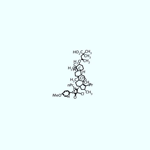 C=C(CC(C)(C)C(=O)O)O[C@H]1CCC2(C)[C@H]3CC[C@]4(C)C5=C(C(C)C)[C@@H](C)C[C@]5(c5c(Cl)c(=O)n(-c6ccc(OC)cn6)n5CCC)CC[C@@]4(C)C3(C)CC[C@H]2C1(C)C